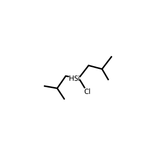 CC(C)C[SiH](Cl)CC(C)C